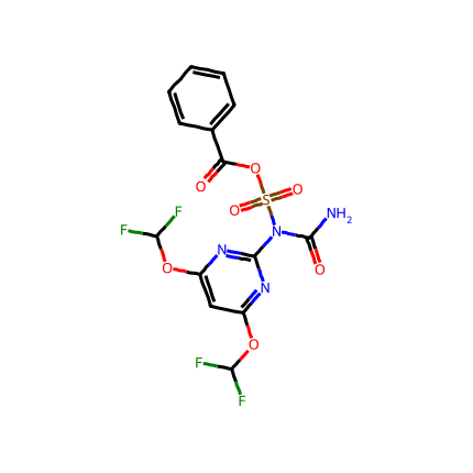 NC(=O)N(c1nc(OC(F)F)cc(OC(F)F)n1)S(=O)(=O)OC(=O)c1ccccc1